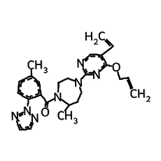 C=CCOc1nc(N2CCC(C)N(C(=O)c3cc(C)ccc3-n3nccn3)CC2)ncc1C=C